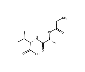 CC(C)[C@H](NC(=O)[C@@H](C)NC(=O)CN)C(=O)O